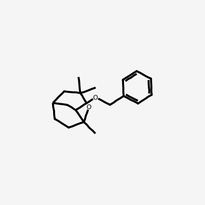 CC1(C)CC2CCC(C)(O1)C(OCc1ccccc1)C2